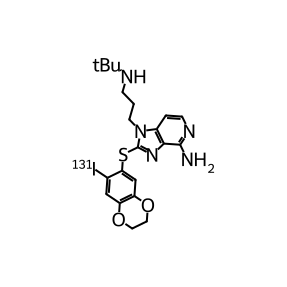 CC(C)(C)NCCCn1c(Sc2cc3c(cc2[131I])OCCO3)nc2c(N)nccc21